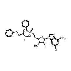 C[C@@H](NP(=O)(OCC1OC(n2cnc3c(N)nc(Cl)nc32)C(F)C1O)Oc1ccccc1)C(=O)OCc1ccccc1